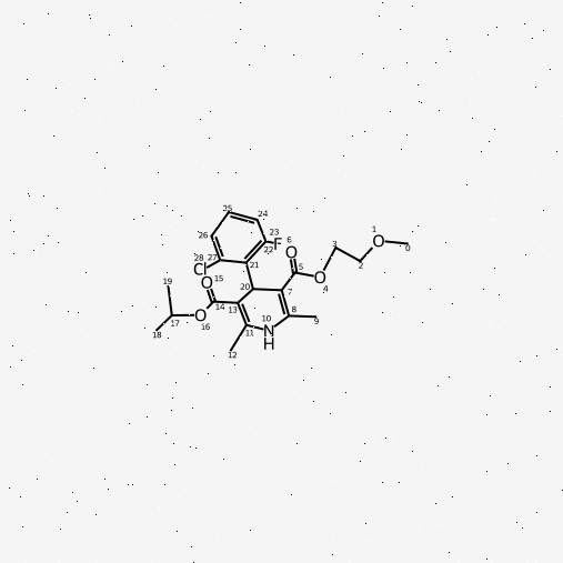 COCCOC(=O)C1=C(C)NC(C)=C(C(=O)OC(C)C)C1c1c(F)cccc1Cl